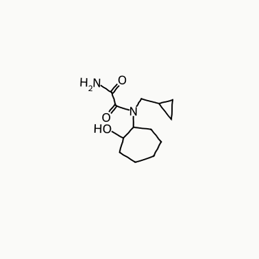 NC(=O)C(=O)N(CC1CC1)C1CCCCCC1O